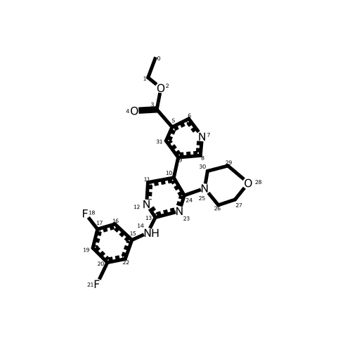 CCOC(=O)c1cncc(-c2cnc(Nc3cc(F)cc(F)c3)nc2N2CCOCC2)c1